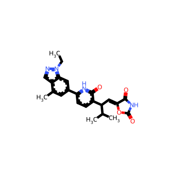 CCn1ncc2c(C)cc(-c3ccc(C(C=C4OC(=O)NC4=O)C(C)C)c(=O)[nH]3)cc21